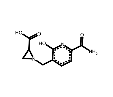 NC(=O)c1ccc(CN2CC2C(=O)O)c(O)n1